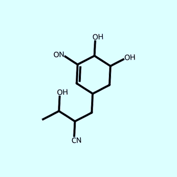 CC(O)C(C#N)CC1C=C(N=O)C(O)C(O)C1